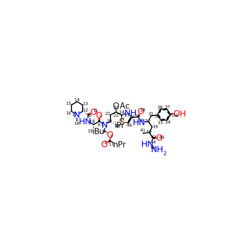 CCCC(=O)OCN(C(=O)[C@@H](NC(=O)[C@H]1CCCCN1C)C(C)CC)[C@H](C[C@@H](OC(C)=O)C1NC(C(=O)N[C@@H](Cc2ccc(O)cc2)C[C@H](C)C(=O)NN)=CS1)C(C)C